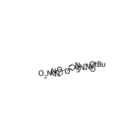 CC(C)(C)OC(=O)N1CCN(c2nc3ccc(OCC4CCn5cc([N+](=O)[O-])nc5O4)cc3s2)CC1